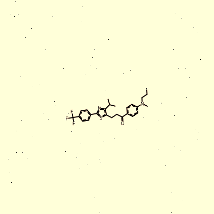 CCCN(C)c1ccc(C(=O)CCc2sc(-c3ccc(C(F)(F)F)cc3)nc2C(C)C)cc1